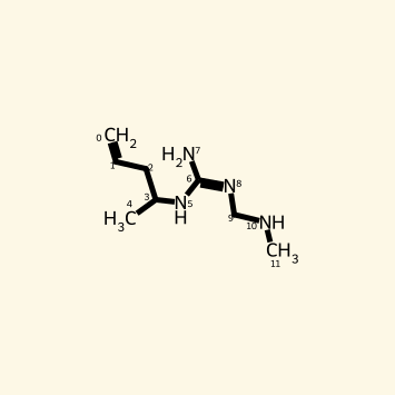 C=CCC(C)N/C(N)=N\CNC